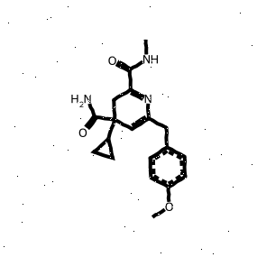 CNC(=O)C1=NC(Cc2ccc(OC)cc2)=CC(C(N)=O)(C2CC2)C1